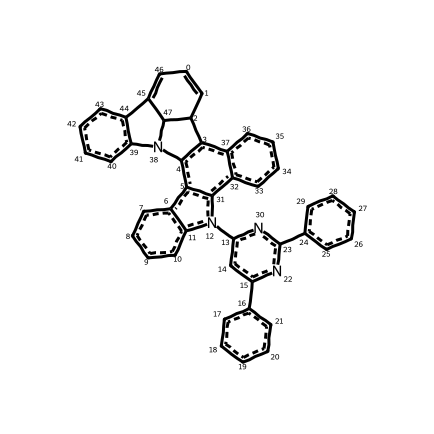 C1=CC2c3c(c4c5ccccc5n(-c5cc(-c6ccccc6)nc(-c6ccccc6)n5)c4c4ccccc34)N3c4ccccc4C(=C1)C23